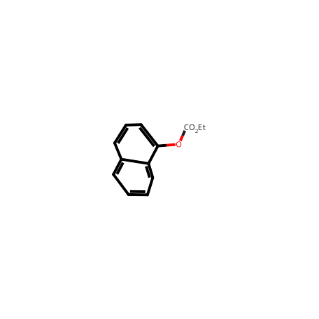 C[CH]OC(=O)Oc1cccc2ccccc12